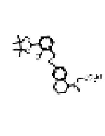 CCOC(=O)CN(C)C1CCCc2cc(OCc3cccc(C4OC(C)(C)C(C)(C)O4)c3Cl)ccc21